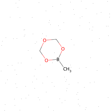 CB1OCOCO1